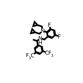 CC(NCc1cc(F)cc(F)c1N(CC1CC1)CC1CC1)c1cc(C(F)(F)F)cc(C(F)(F)F)c1